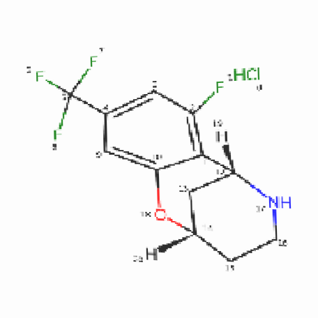 Cl.Fc1cc(C(F)(F)F)cc2c1[C@H]1C[C@H](CCN1)O2